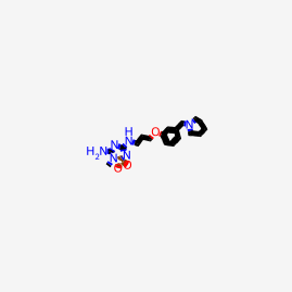 CN1C(N)=NC(NCCCOc2cccc(CN3CCCCC3)c2)=NS1(=O)=O